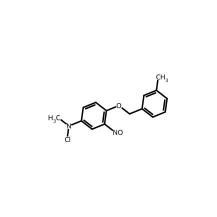 Cc1cccc(COc2ccc(N(C)Cl)cc2N=O)c1